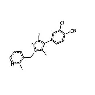 Cc1ncccc1Cn1nc(C)c(-c2ccc(C#N)c(Cl)c2)c1C